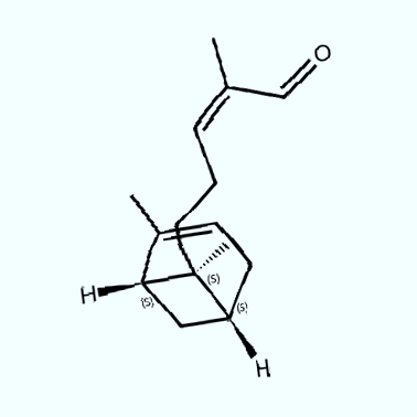 CC(C=O)=CCC[C@@]1(C)[C@@H]2CC=C(C)[C@H]1C2